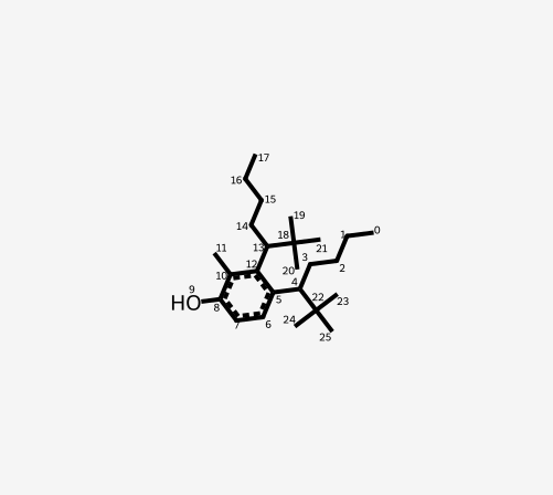 CCCCC(c1ccc(O)c(C)c1C(CCCC)C(C)(C)C)C(C)(C)C